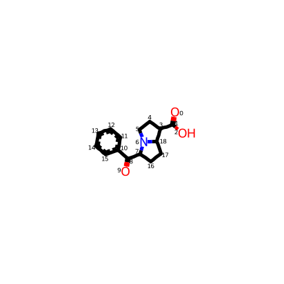 O=C(O)C1CCN2C(C(=O)c3ccccc3)CCC12